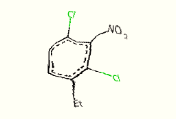 CCc1ccc(Cl)c([N+](=O)[O-])c1Cl